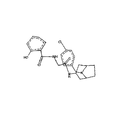 O=C(CNC(=O)c1ccccc1O)NC1CC2CCC(C1)N2Cc1ccc(Cl)cc1